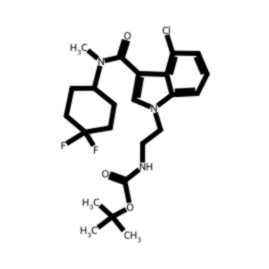 CN(C(=O)c1cn(CCNC(=O)OC(C)(C)C)c2cccc(Cl)c12)C1CCC(F)(F)CC1